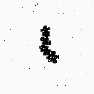 CC(C)(C)c1ccc(CC(=O)NCc2ccc3c(c2)CN(C2CCC(=O)NC2=O)C3)cc1